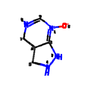 [O-][N+]1=C2NNCC2CN=C1